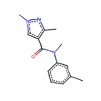 Cc1cccc(N(C)C(=O)c2cn(C)nc2C)c1